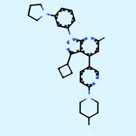 CCOC(=O)c1cc(-c2ccc(N3CCC(C#N)CC3)nc2)c2c(C3CCC3)nn(-c3cccc(N4CCCC4)c3)c2n1